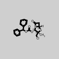 C[C@@]1(CCl)S[C@H]2CC(=O)N2[C@H]1OC(=O)OC(c1ccccc1)c1ccccc1